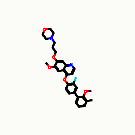 COc1cc2c(Oc3ccc(-c4cc[c]c(C)c4OC)cc3F)ccnc2cc1OCCCN1CCOCC1